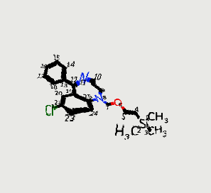 C[Si](C)(C)CCOCN1CCN=C(c2ccccc2)c2cc(Cl)ccc21